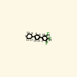 Fc1cc(-c2ccc(C3CCCCC3)cc2)cc(F)c1F